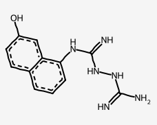 N=C(N)NNC(=N)Nc1cccc2ccc(O)cc12